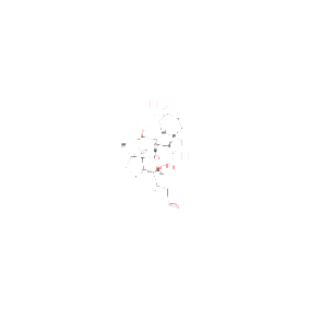 C[C@H](O)CC1C[C@H](O)CC[C@]1(C)[C@H](C)C[C@H](O)[C@@]1(C)[C@H](C)CC[C@@H]1[C@H](C)CCCO